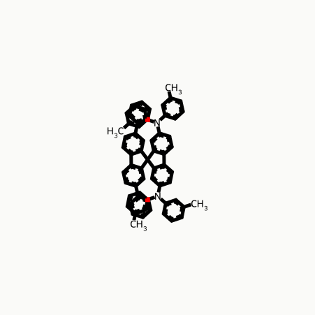 Cc1cccc(N(c2cccc(C)c2)c2ccc3c(c2)C2(c4cc(-c5ccccc5)ccc4-c4ccc(-c5ccccc5)cc42)c2cc(N(c4cccc(C)c4)c4cccc(C)c4)ccc2-3)c1